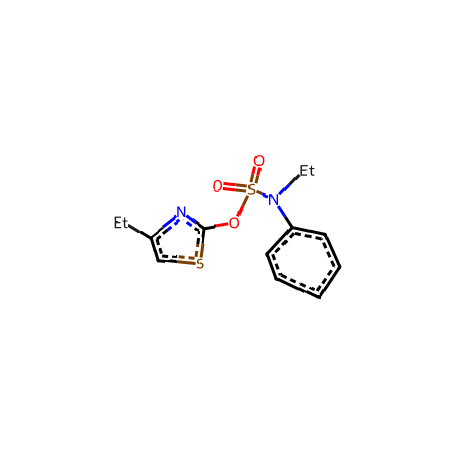 CCc1csc(OS(=O)(=O)N(CC)c2ccccc2)n1